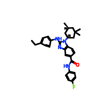 CCc1ccc(Nc2nc3cc(C(=O)Nc4ccc(F)cc4)ccc3n2[C@H]2C[C@@H](C)CC(C)(C)C2)cc1